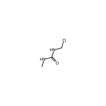 [CH2]NC(=O)NCCl